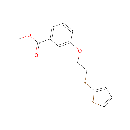 COC(=O)c1cccc(OCCSc2cccs2)c1